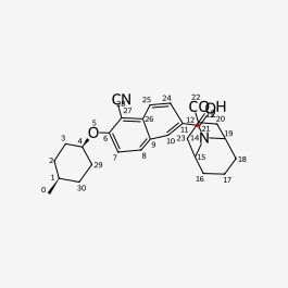 C[C@H]1CC[C@@H](Oc2ccc3cc(C(=O)N4C5CCCC4CC(C(=O)O)C5)ccc3c2C#N)CC1